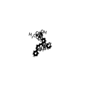 CC(C)(C)OC(=O)N(CC(=O)O)c1cccc(C(Cc2ccc(-c3ccccc3)nn2)NS(=O)(=O)c2cccnc2)n1